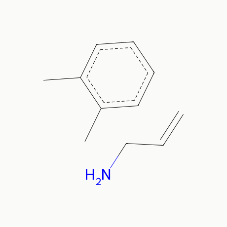 C=CCN.Cc1ccccc1C